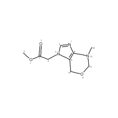 COC(=O)Cn1cnc2c1COCN2C